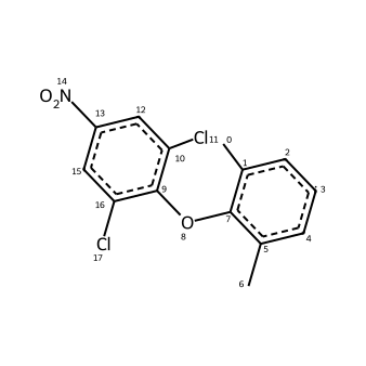 Cc1c[c]cc(C)c1Oc1c(Cl)cc([N+](=O)[O-])cc1Cl